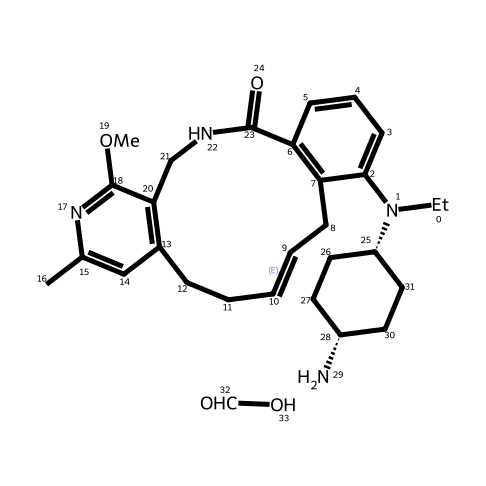 CCN(c1cccc2c1C/C=C/CCc1cc(C)nc(OC)c1CNC2=O)[C@H]1CC[C@@H](N)CC1.O=CO